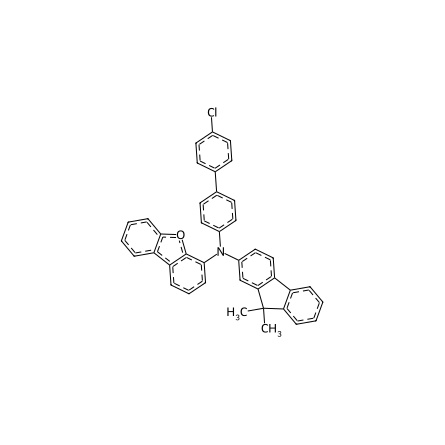 CC1(C)c2ccccc2-c2ccc(N(c3ccc(-c4ccc(Cl)cc4)cc3)c3cccc4c3oc3ccccc34)cc21